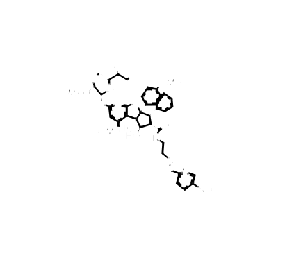 COc1ccc([C@@]23Oc4cc(O[C@@H]5O[C@@H]([C@H](O)CO)CO[C@H]5OC)cc(OC)c4[C@]2(O)[C@H](O)[C@H](C(=O)NCCSSc2ccc([N+](=O)[O-])cn2)[C@H]3c2ccccc2)cc1